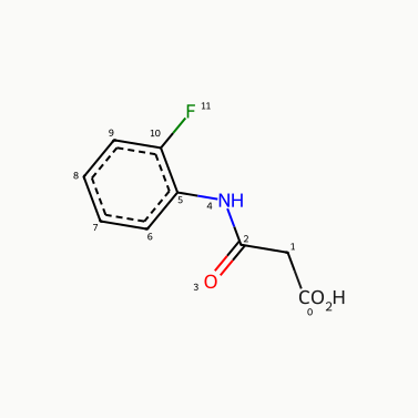 O=C(O)CC(=O)Nc1ccccc1F